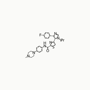 CC(C)n1cnc(-c2ccc(F)cc2)c1-c1csc(C(=O)Nc2ccc(N3CCN(C)CC3)cc2)n1